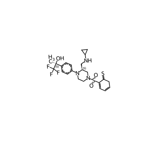 C[C@](O)(c1ccc(N2CCN(S(=O)(=O)C3=CC=CCC3=S)C[C@@H]2CNC2CC2)cc1)C(F)(F)F